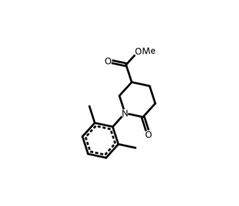 COC(=O)C1CCC(=O)N(c2c(C)cccc2C)C1